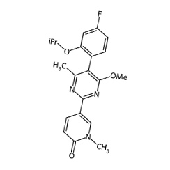 COc1nc(-c2ccc(=O)n(C)c2)nc(C)c1-c1ccc(F)cc1OC(C)C